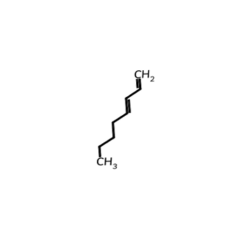 C=CC=CCCCC